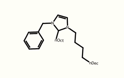 CCCCCCCCCCCCCCN1C=CN(Cc2ccccc2)C1CCCCCCCC